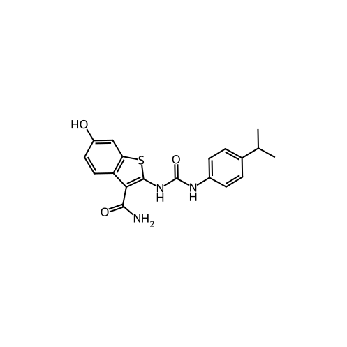 CC(C)c1ccc(NC(=O)Nc2sc3cc(O)ccc3c2C(N)=O)cc1